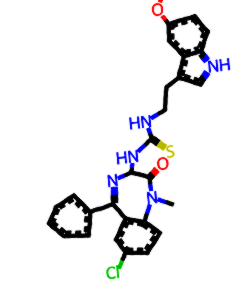 COc1ccc2[nH]cc(CCNC(=S)NC3N=C(c4ccccc4)c4cc(Cl)ccc4N(C)C3=O)c2c1